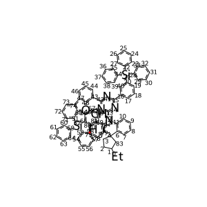 CCC1CC[C@](C)(c2ccccc2N(c2nc(-c3cccc([Si](c4ccccc4)(c4ccccc4)c4ccccc4)c3)nc(-c3cccc4c3oc3c([Si](c5ccccc5)(c5ccccc5)c5ccccc5)cccc34)n2)c2ccccc2C)C1